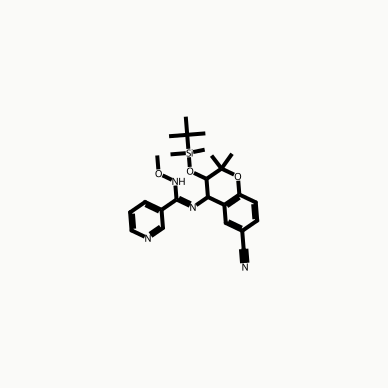 CONC(=NC1c2cc(C#N)ccc2OC(C)(C)C1O[Si](C)(C)C(C)(C)C)c1cccnc1